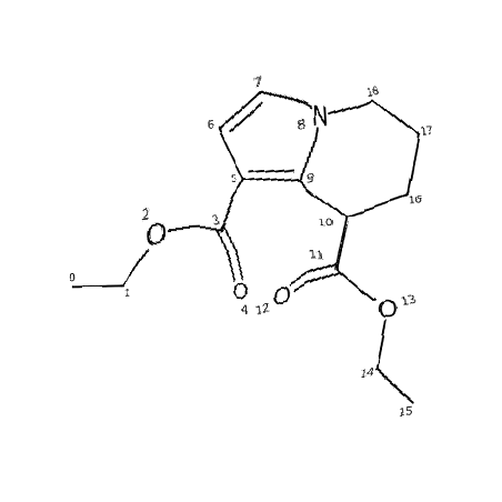 CCOC(=O)c1ccn2c1C(C(=O)OCC)CCC2